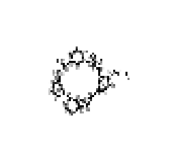 COc1ncc2cc1NS(=O)(=O)c1cccc(c1)C(=O)Nc1cncc(c1)-c1ncnc3cc-2sc13